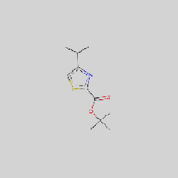 CC(C)c1csc(C(=O)OC(C)(C)C)n1